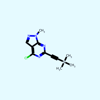 Cn1ncc2c(Cl)nc(C#C[Si](C)(C)C)nc21